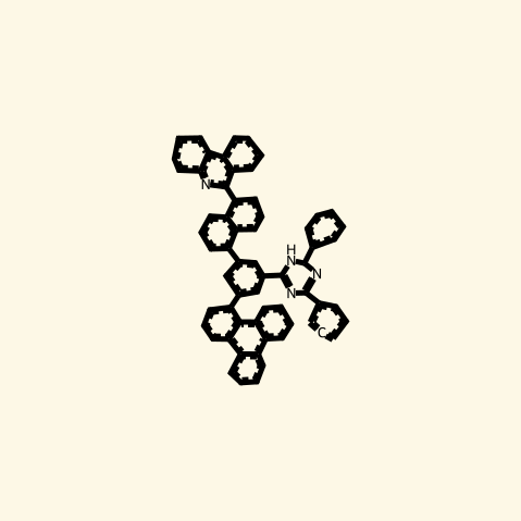 c1ccc(C2=NC(c3ccccc3)NC(c3cc(-c4cccc5c(-c6nc7ccccc7c7ccccc67)cccc45)cc(-c4cccc5c6ccccc6c6ccccc6c45)c3)=N2)cc1